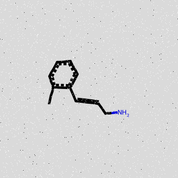 Cc1ccccc1C=CCN